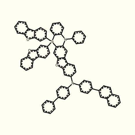 c1ccc(-c2ccc(N(c3ccc(-c4ccc5ccccc5c4)cc3)c3ccc4c(c3)oc3cc5c(cc34)N(c3ccccc3)c3ccccc3[Si]5(c3ccc4c(c3)oc3ccccc34)c3ccc4c(c3)oc3ccccc34)cc2)cc1